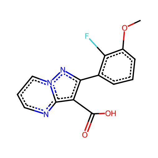 COc1cccc(-c2nn3cccnc3c2C(=O)O)c1F